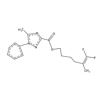 CC(CCCCOC(=O)c1nc(C)n(-c2ccccc2)n1)=C(F)F